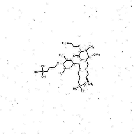 C=CCOC[C@H]1O[C@@H](O[C@H]2[C@H](C)[C@@H](OCCC[Si](O)(O)O)[C@H](C)O[C@@H]2COCCC[Si](O)(O)O)[C@H](OCC=C)[C@@H](C)[C@@H]1OC